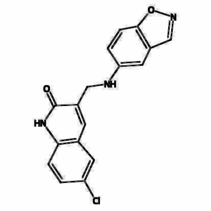 O=c1[nH]c2ccc(Cl)cc2cc1CNc1ccc2oncc2c1